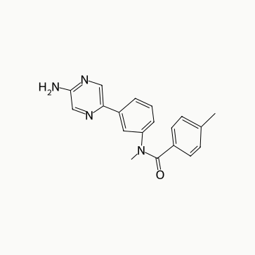 Cc1ccc(C(=O)N(C)c2cccc(-c3cnc(N)cn3)c2)cc1